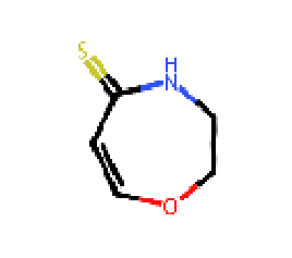 S=C1C=COCCN1